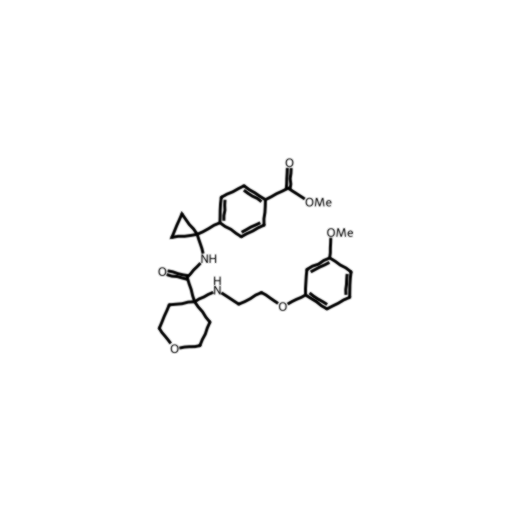 COC(=O)c1ccc(C2(NC(=O)C3(NCCOc4cccc(OC)c4)CCOCC3)CC2)cc1